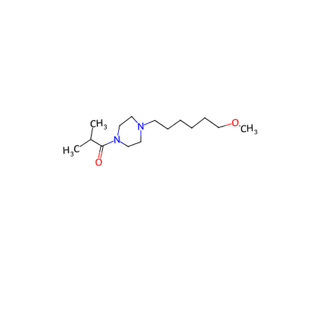 COCCCCCCN1CCN(C(=O)C(C)C)CC1